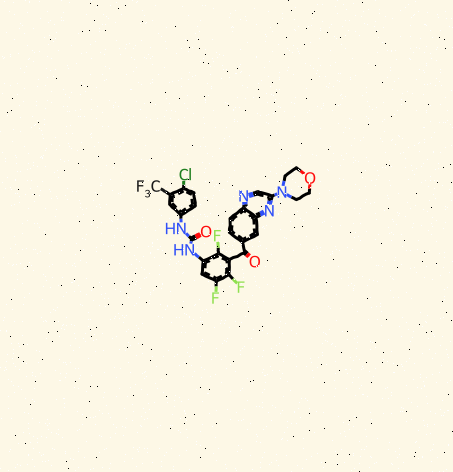 O=C(Nc1ccc(Cl)c(C(F)(F)F)c1)Nc1cc(F)c(F)c(C(=O)c2ccc3ncc(N4CCOCC4)nc3c2)c1F